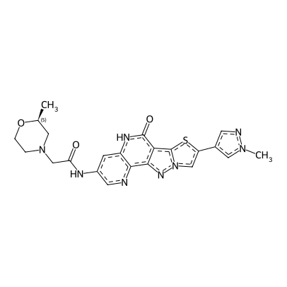 C[C@H]1CN(CC(=O)Nc2cnc3c(c2)[nH]c(=O)c2c3nn3cc(-c4cnn(C)c4)sc23)CCO1